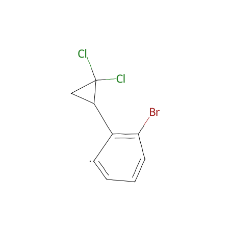 ClC1(Cl)CC1c1[c]cccc1Br